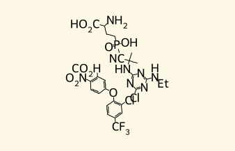 CCNc1nc(Cl)nc(NC(C)(C)C#N)n1.CP(=O)(O)CCC(N)C(=O)O.O=C(O)c1cc(Oc2ccc(C(F)(F)F)cc2Cl)ccc1[N+](=O)[O-]